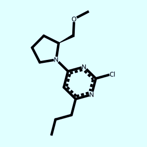 CCCc1cc(N2CCC[C@H]2COC)nc(Cl)n1